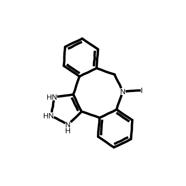 IN1Cc2ccccc2C2=C(NNN2)c2ccccc21